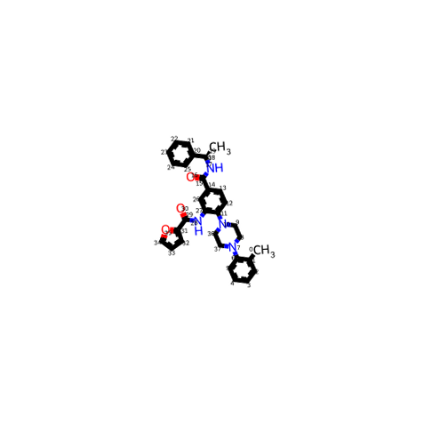 Cc1ccccc1N1CCN(c2ccc(C(=O)N[C@H](C)c3ccccc3)cc2NC(=O)c2ccco2)CC1